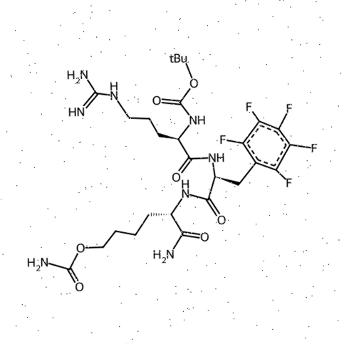 CC(C)(C)OC(=O)N[C@H](CCCNC(=N)N)C(=O)N[C@@H](Cc1c(F)c(F)c(F)c(F)c1F)C(=O)N[C@@H](CCCCOC(N)=O)C(N)=O